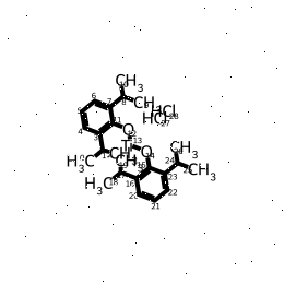 CC(C)c1cccc(C(C)C)c1[O][Ti][O]c1c(C(C)C)cccc1C(C)C.Cl.Cl